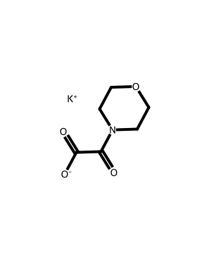 O=C([O-])C(=O)N1CCOCC1.[K+]